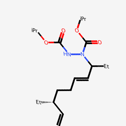 C=C[C@H](CC)CC/C=C/C(CC)N(NC(=O)OC(C)C)C(=O)OC(C)C